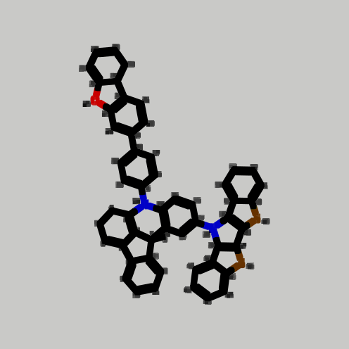 CC12C3=C(CCC=C3c3ccccc31)N(c1ccc(-c3ccc4c(c3)OC3=CC=CCC34)cc1)c1ccc(-n3c4c5ccccc5sc4c4sc5ccccc5c43)cc12